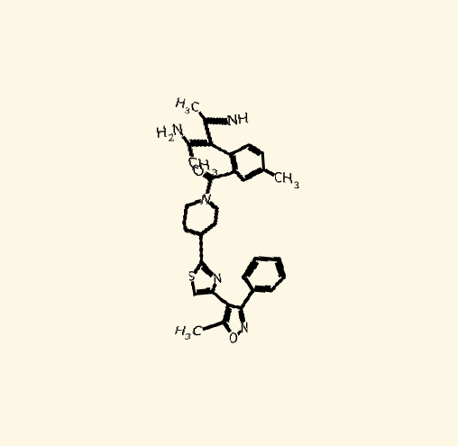 CC(=N)/C(=C(/C)N)c1ccc(C)cc1C(=O)N1CCC(c2nc(-c3c(-c4ccccc4)noc3C)cs2)CC1